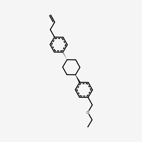 C=CCc1ccc([C@H]2CC[C@H](c3ccc(COCC)cc3)CC2)cc1